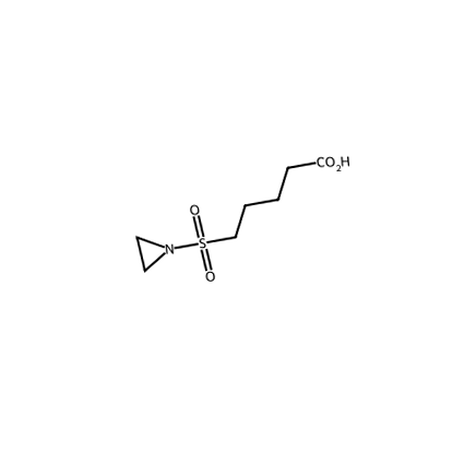 O=C(O)CCCCS(=O)(=O)N1CC1